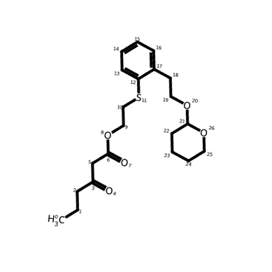 CCCC(=O)CC(=O)OCCSc1ccccc1CCOC1CCCCO1